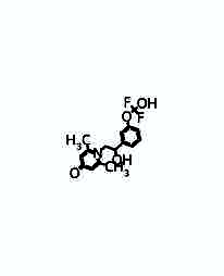 Cc1cc(=O)cc(C)n1CC(O)c1cccc(OC(O)(F)F)c1